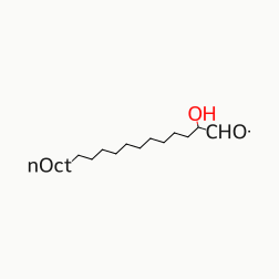 CCCCCCCCCCCCCCCCCCC(O)[C]=O